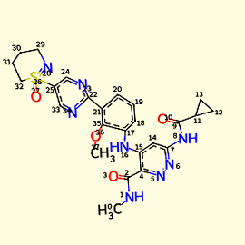 CNC(=O)c1nnc(NC(=O)C2CC2)cc1Nc1cccc(-c2ncc(S3(=O)=NCCCC3)cn2)c1OC